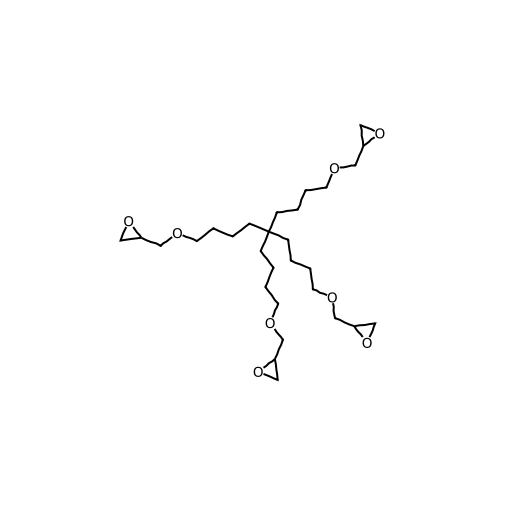 C(CCC(CCCCOCC1CO1)(CCCCOCC1CO1)CCCCOCC1CO1)COCC1CO1